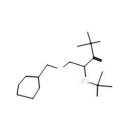 CC(C)(C)NC(CSCC1CCCCC1)C(=O)C(C)(C)C